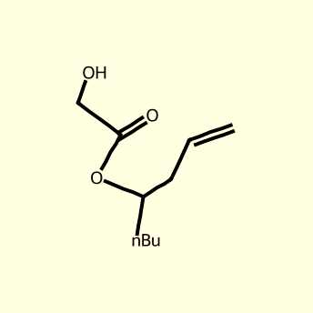 C=CCC(CCCC)OC(=O)CO